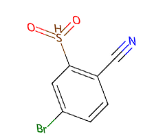 N#Cc1ccc(Br)cc1[SH](=O)=O